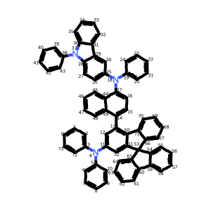 c1ccc(N(c2ccccc2)c2cc(-c3ccc(N(c4ccccc4)c4ccc5c(c4)c4ccccc4n5-c4ccccc4)c4ccccc34)c3c(c2)C2(c4ccccc4-c4ccccc42)c2ccccc2-3)cc1